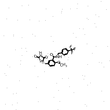 COc1ccc(C[C@@H]2SC(=O)NC2=O)cc1C(=O)NCc1ccc(C(F)(F)F)cc1